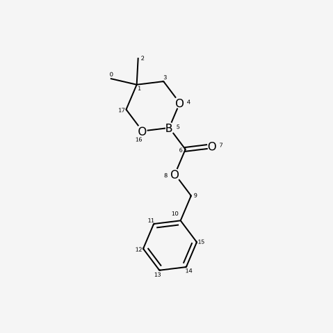 CC1(C)COB(C(=O)OCc2ccccc2)OC1